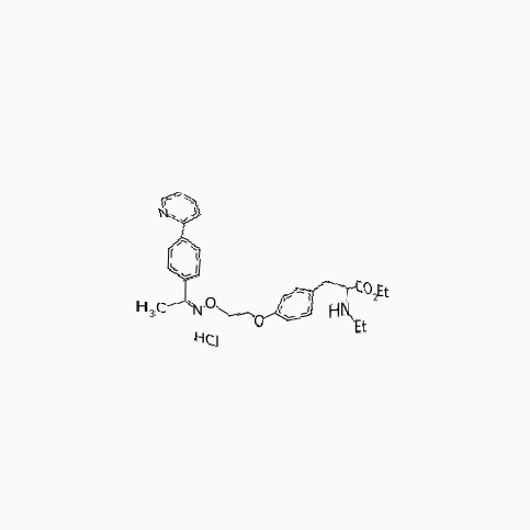 CCNC(Cc1ccc(OCCON=C(C)c2ccc(-c3ccccn3)cc2)cc1)C(=O)OCC.Cl